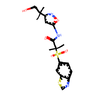 CC(C)(CO)c1cc(NC(=O)C(C)(C)S(=O)(=O)c2ccc3ncsc3c2)on1